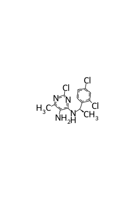 Cc1nc(Cl)nc(N[C@H](C)c2ccc(Cl)cc2Cl)c1N